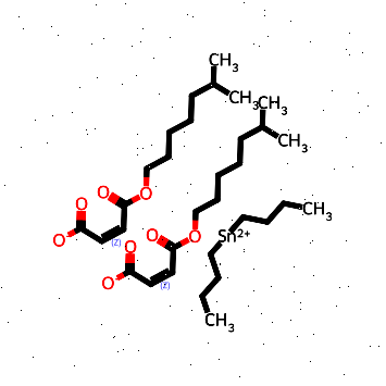 CC(C)CCCCCOC(=O)/C=C\C(=O)[O-].CC(C)CCCCCOC(=O)/C=C\C(=O)[O-].CCC[CH2][Sn+2][CH2]CCC